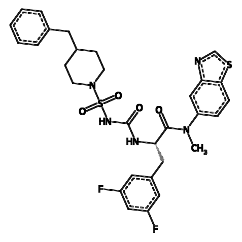 CN(C(=O)[C@H](Cc1cc(F)cc(F)c1)NC(=O)NS(=O)(=O)N1CCC(Cc2ccccc2)CC1)c1ccc2scnc2c1